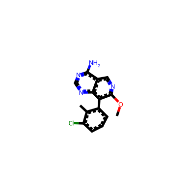 COc1ncc2c(N)ncnc2c1-c1cccc(Cl)c1C